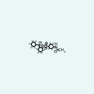 CC(=O)Nc1ccc(S(=O)(=O)Nc2ccccc2C(=O)c2ccccc2)cc1